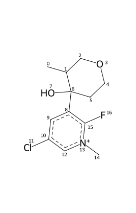 CC1COCCC1(O)c1cc(Cl)c[n+](C)c1F